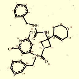 O=C(NCc1ccccc1)NC1(C2=CCOCC2)CN(C(=O)N(Cc2ccccc2)c2cc(Cl)nc(Cl)c2)C1